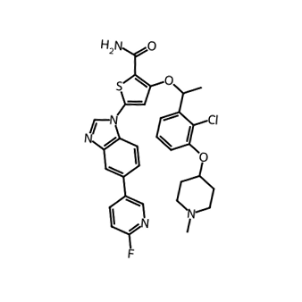 CC(Oc1cc(-n2cnc3cc(-c4ccc(F)nc4)ccc32)sc1C(N)=O)c1cccc(OC2CCN(C)CC2)c1Cl